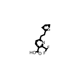 O=C(O)c1ccc(CCc2cccs2)nc1C(F)F